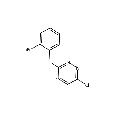 CC(C)c1ccccc1Oc1[c]cc(Cl)nn1